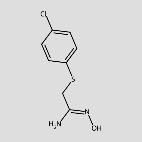 NC(CSc1ccc(Cl)cc1)=NO